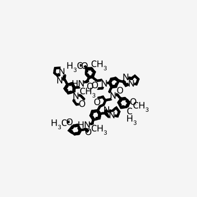 COc1cccc(C(=O)NC(C)c2ccc(C3CC(CN(Cc4cc(-c5cn6c(n5)CCC6)ccc4N4CCOC(c5cc(C)c(OC)cc5C(=O)NCc5cc(-c6cn7c(n6)CCC7)ccc5N5CCOCC5C)C4)C(=O)c4ccc(C)c(OC)c4)CCO3)c(-c3cn4c(n3)CCC4)c2)c1